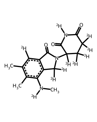 [2H]c1c(C)c(C)c(N([2H])C)c2c1C(=O)N(C1([2H])C(=O)N([2H])C(=O)C([2H])([2H])C1([2H])[2H])C2([2H])[2H]